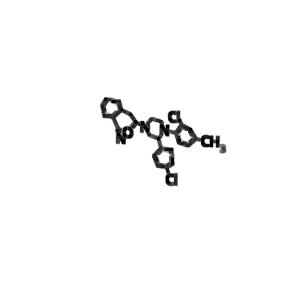 Cc1ccc(N2CCN(C(=O)Cc3ccccc3C#N)CC2c2ccc(Cl)cc2)c(Cl)c1